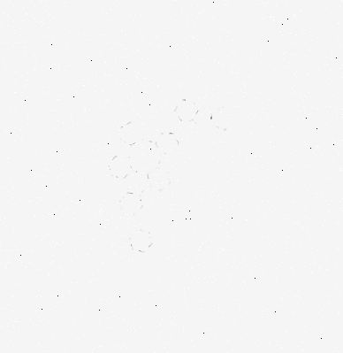 c1ccc(-c2ccc3c(c2)c2cccc4c5ccc(-c6cccc7c6sc6ccccc67)cc5c5ccccc5c5cccc3c5c42)cc1